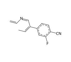 C=C/N=C\C(=C/C)c1ccc(C#N)c(F)c1